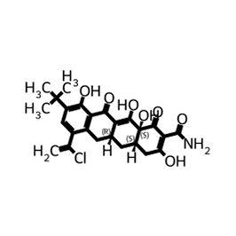 C=C(Cl)c1cc(C(C)(C)C)c(O)c2c1C[C@H]1C[C@H]3CC(O)=C(C(N)=O)C(=O)[C@@]3(O)C(O)=C1C2=O